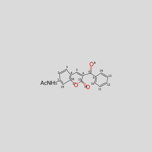 CC(=O)Nc1ccc2cc(C(=O)c3ccccc3)c(=O)oc2c1